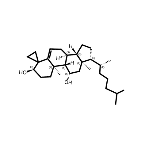 CC(C)CCC[C@@H](C)[C@H]1CC[C@H]2[C@@H]3CC=C4C5(CC5)[C@H](O)CC[C@]4(C)[C@H]3[C@@H](O)C[C@]12C